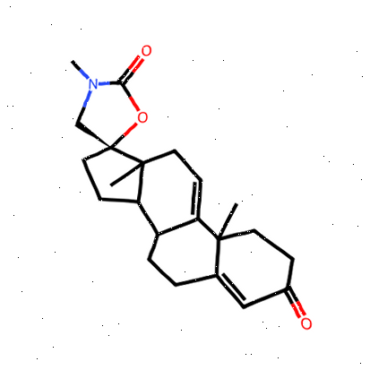 CN1C[C@@]2(CCC3C4CCC5=CC(=O)CCC5(C)C4=CCC32C)OC1=O